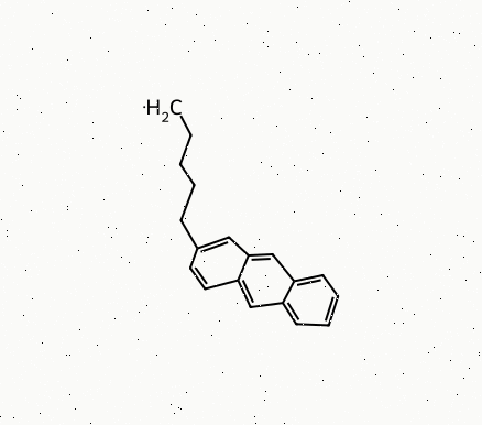 [CH2]CCCCc1ccc2cc3ccccc3cc2c1